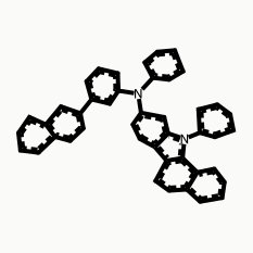 c1ccc(N(c2cccc(-c3ccc4ccccc4c3)c2)c2ccc3c4ccc5ccccc5c4n(-c4ccccc4)c3c2)cc1